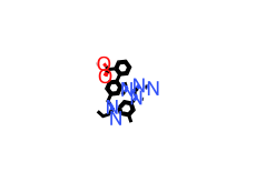 CCc1nc2c(C)cc(N(C)/C(=N\C#N)N(C)C)cc2n1Cc1ccc(-c2ccccc2C(=O)OC)cc1